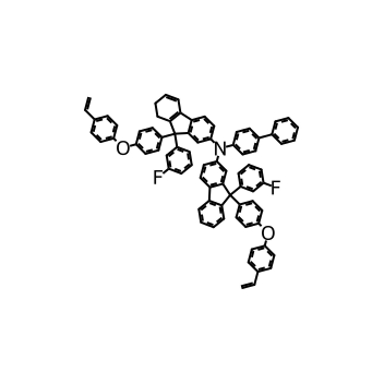 C=Cc1ccc(Oc2ccc(C3(c4cccc(F)c4)C4=C(C=CCC4)c4ccc(N(c5ccc(-c6ccccc6)cc5)c5ccc6c(c5)C(c5ccc(Oc7ccc(C=C)cc7)cc5)(c5cccc(F)c5)c5ccccc5-6)cc43)cc2)cc1